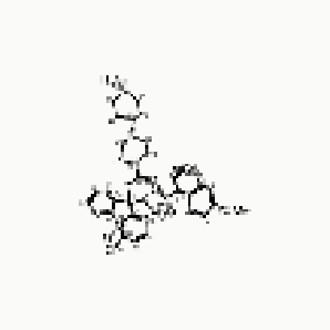 C=CC(c1ccc(OC)cc1OC)S(=O)(=O)[N+]1([O-])CC(CC(=O)N2CCN(C3CCN(C)CC3)CC2)(c2cccnc2OCC)c2cc(Cl)ccc21